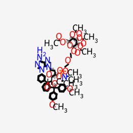 COc1ccc(C(OC(C(=O)c2ccccc2)[C@H]2O[C@@H](n3cnc4c(N)ncnc43)C[C@@H]2OP(=O)(OCCOCCO[C@@H]2O[C@H](COC(C)=O)[C@@H](OC(C)=O)[C@H](OC(C)=O)[C@H]2OC(C)=O)N(C(C)C)C(C)C)(c2ccccc2)c2ccc(OC)cc2)cc1